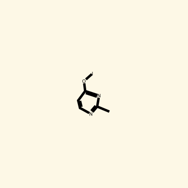 Cc1nccc(OI)n1